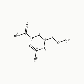 CCCOCC(COC(=O)CCC)OC(=O)CCC